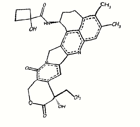 CC[C@@]1(O)C(=O)OCc2c1cc1n(c2=O)Cc2c-1nc1cc(C)c(C)c3c1c2[C@@H](NC(=O)C1(O)CCC1)CC3